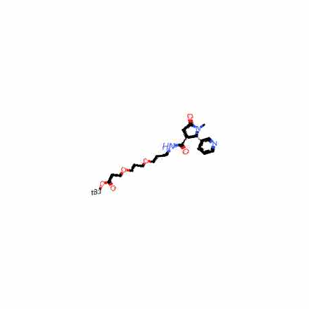 CN1C(=O)C[C@H](C(=O)NCCCOCCCOCCC(=O)OC(C)(C)C)[C@H]1c1cccnc1